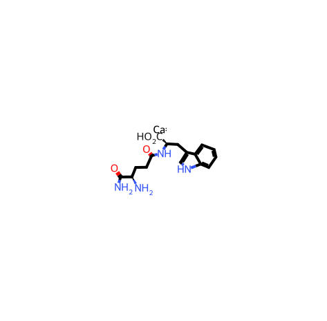 NC(=O)[C@H](N)CCC(=O)N[C@H](Cc1c[nH]c2ccccc12)C(=O)O.[Ca]